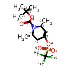 C[C@H]1C=C(OS(=O)(=O)C(F)(F)F)C[C@H](C)N1C(=O)OC(C)(C)C